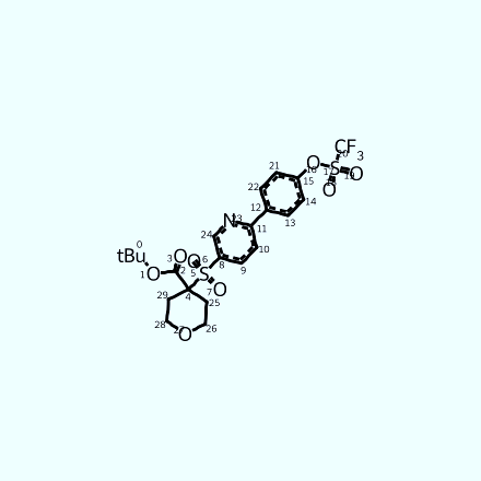 CC(C)(C)OC(=O)C1(S(=O)(=O)c2ccc(-c3ccc(OS(=O)(=O)C(F)(F)F)cc3)nc2)CCOCC1